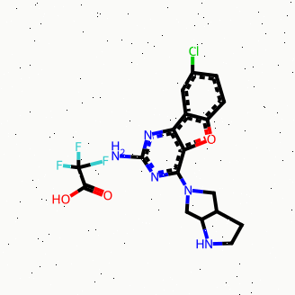 Nc1nc(N2CC3CCNC3C2)c2oc3ccc(Cl)cc3c2n1.O=C(O)C(F)(F)F